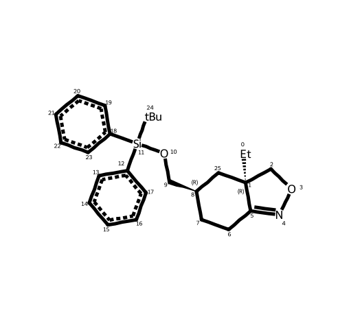 CC[C@]12CON=C1CC[C@@H](CO[Si](c1ccccc1)(c1ccccc1)C(C)(C)C)C2